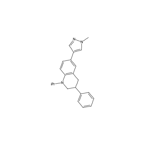 CC(C)N1CC(c2ccccc2)Cc2cc(-c3cnn(C)c3)ccc21